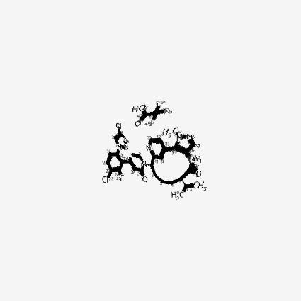 CC(C)[C@@H]1CCC[C@H](n2cnc(-c3c(-n4cc(Cl)nn4)ccc(Cl)c3F)cc2=O)c2cc(ccn2)-c2c(cnn2C)NC1=O.O=C(O)C(F)(F)F